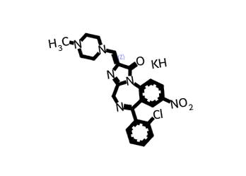 CN1CCN(/C=C2\N=C3CN=C(c4ccccc4Cl)c4cc([N+](=O)[O-])ccc4N3C2=O)CC1.[KH]